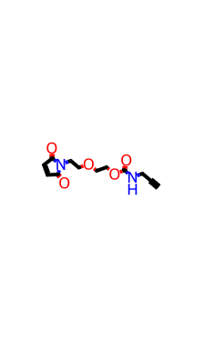 C#CCNC(=O)OCCOCCN1C(=O)C=CC1=O